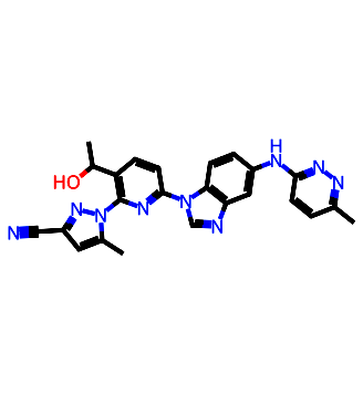 Cc1ccc(Nc2ccc3c(c2)ncn3-c2ccc(C(C)O)c(-n3nc(C#N)cc3C)n2)nn1